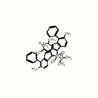 Cc1ccc2c(c1-c1ccccc1)C=C(CC(C)C)[CH]2[Zr]([Cl])([Cl])([CH]1C(CC(C)C)=Cc2c1ccc(C)c2-c1ccccc1)[SiH](C)C